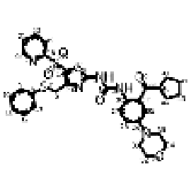 O=C(Nc1nc(CSc2ccccc2)c(S(=O)(=O)c2ccccn2)s1)Nc1ccc(N2CCOCC2)cc1C(=O)C1CCCC1